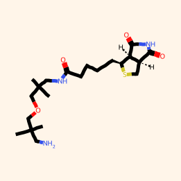 CC(C)(CN)COCC(C)(C)CNC(=O)CCCC[C@@H]1SC[C@@H]2C(=O)NC(=O)[C@H]12